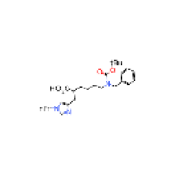 CCCn1cnc(CC(CCCCN(Cc2ccccc2)C(=O)OC(C)(C)C)C(=O)O)c1